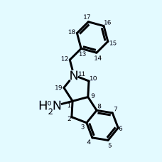 NC12Cc3ccccc3C1CN(Cc1ccccc1)C2